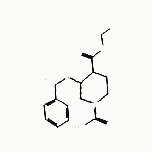 CCOC(=O)C1CCN(C(=O)O)CC1N[C@@H](C)c1ccccc1